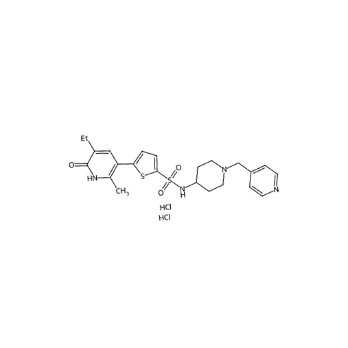 CCc1cc(-c2ccc(S(=O)(=O)NC3CCN(Cc4ccncc4)CC3)s2)c(C)[nH]c1=O.Cl.Cl